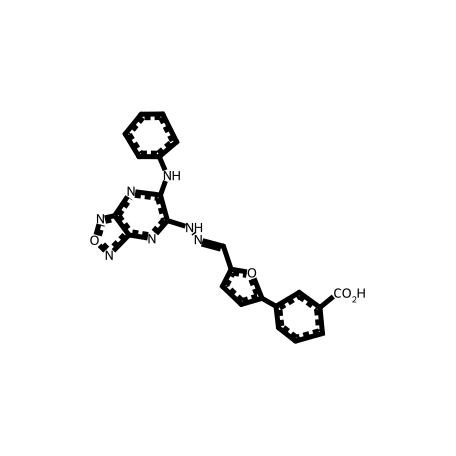 O=C(O)c1cccc(-c2ccc(C=NNc3nc4nonc4nc3Nc3ccccc3)o2)c1